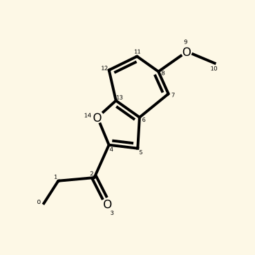 CCC(=O)c1cc2cc(OC)ccc2o1